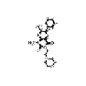 Cn1c(=O)n(CCN2CCOCC2)c(=O)c2nc(-c3ccccc3)c(Cl)nc21